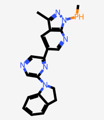 CPn1nc(C)c2cc(-c3cncc(N4CCc5ccccc54)n3)cnc21